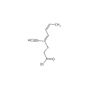 C#C/C(=C\C=C/C)SCC(=O)CC